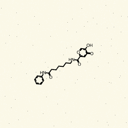 O=C(CCCCCCNC(=O)c1cc(=O)c(O)co1)Nc1ccccc1